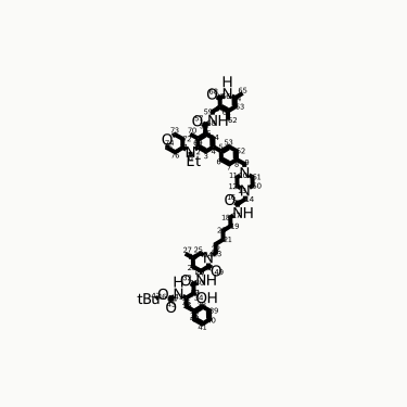 CCN(c1cc(-c2ccc(CN3CCN(CC(=O)NCCCCCCN4CC(C)C[C@H](NC(=O)[C@@H](O)C(Cc5ccccc5)NC(=O)OC(C)(C)C)C4=O)CC3)cc2)cc(C(=O)NCc2c(C)cc(C)[nH]c2=O)c1C)C1CCOCC1